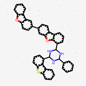 c1ccc(C2NC(c3cccc4c3oc3cc(-c5ccc6oc7ccccc7c6c5)ccc34)NC(c3cccc4sc5ccccc5c34)N2)cc1